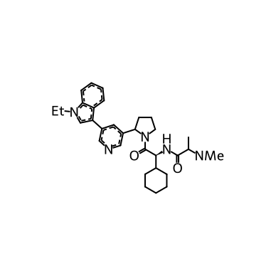 CCn1cc(-c2cncc(C3CCCN3C(=O)[C@@H](NC(=O)C(C)NC)C3CCCCC3)c2)c2ccccc21